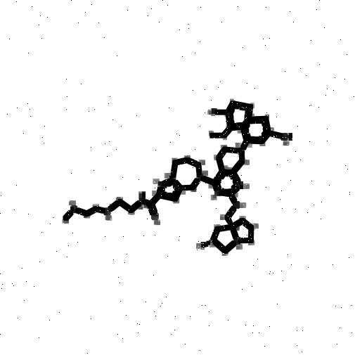 CCc1c(F)ccc2cc(O)cc(N3CCc4c(nc(OC[C@@]56CCCN5C[C@H](F)C6)nc4N4CCCn5nc(C(=O)NCCOCCOC)cc5C4)C3)c12